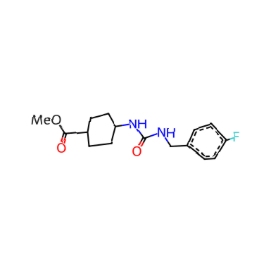 COC(=O)C1CCC(NC(=O)NCc2ccc(F)cc2)CC1